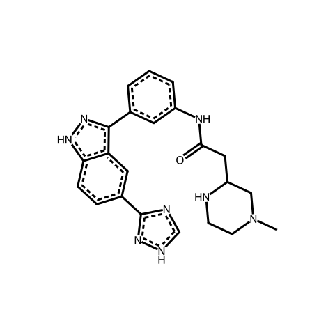 CN1CCNC(CC(=O)Nc2cccc(-c3n[nH]c4ccc(-c5nc[nH]n5)cc34)c2)C1